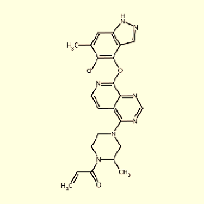 C=CC(=O)N1CCN(c2ncnc3c(Oc4c(Cl)c(C)cc5[nH]ncc45)nccc23)CC1C